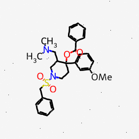 COc1cccc(C2(OC(=O)c3ccccc3)CCN(S(=O)(=O)Cc3ccccc3)CC2CN(C)C)c1